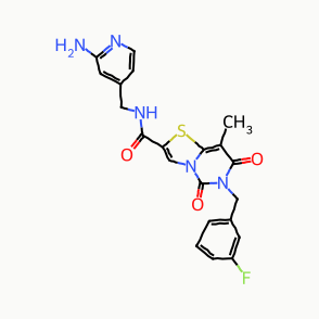 Cc1c(=O)n(Cc2cccc(F)c2)c(=O)n2cc(C(=O)NCc3ccnc(N)c3)sc12